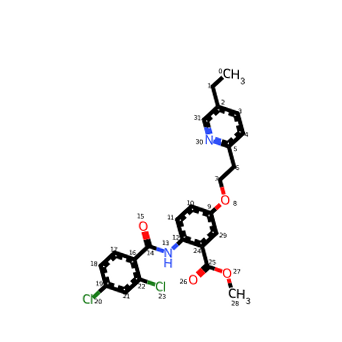 CCc1ccc(CCOc2ccc(NC(=O)c3ccc(Cl)cc3Cl)c(C(=O)OC)c2)nc1